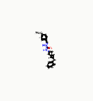 COc1ccc(CNC(=O)NC2CC3(CC(Cc4ccccc4C)C3)C2)cc1